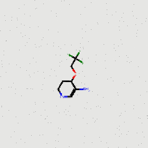 NC1=CNCCC1OCC(F)(F)F